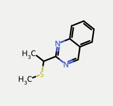 CSC(C)c1ncc2ccccc2n1